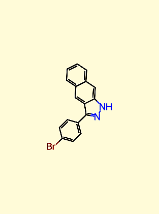 Brc1ccc(-c2n[nH]c3cc4ccccc4cc23)cc1